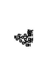 O=P(O)(O)OP(=O)(O)O.O=P([O-])([O-])[O-].[K+].[Na+].[Na+]